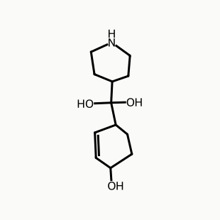 OC1C=CC(C(O)(O)C2CCNCC2)CC1